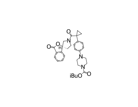 CC(C)COC(=O)N1CCN(c2ccc(C3(C(=O)N4CC[C@@]5(C4)OC(=O)c4ccccc45)CC3)cc2)CC1